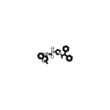 Cc1cc(NC(=O)N[C@@H]2CCN(C(C)C(c3ccccc3)c3ccccc3)C2)c2ccccc2n1